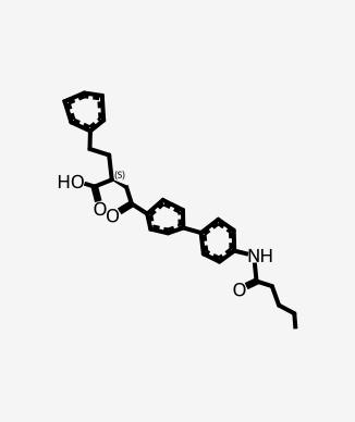 CCCCC(=O)Nc1ccc(-c2ccc(C(=O)C[C@H](CCc3ccccc3)C(=O)O)cc2)cc1